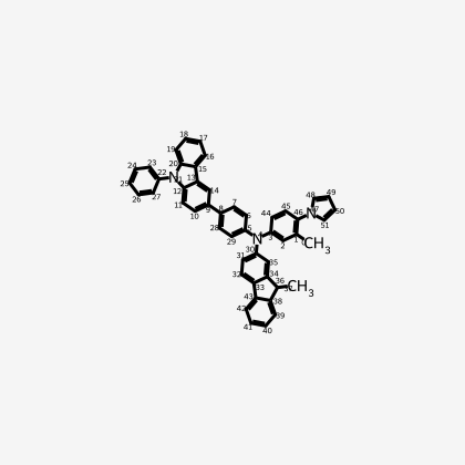 Cc1cc(N(c2ccc(-c3ccc4c(c3)c3ccccc3n4-c3ccccc3)cc2)c2ccc3c(c2)C(C)c2ccccc2-3)ccc1-n1cccc1